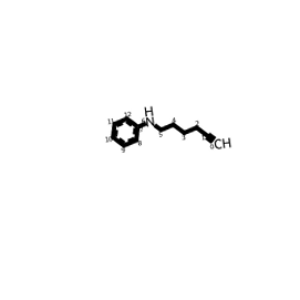 C#CCCCCNc1ccccc1